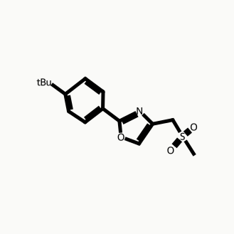 CC(C)(C)c1ccc(-c2nc(CS(C)(=O)=O)co2)cc1